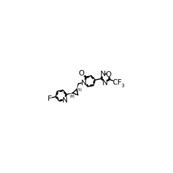 O=c1cc(-c2noc(C(F)(F)F)n2)ccn1C[C@H]1C[C@H]1c1ccc(F)cn1